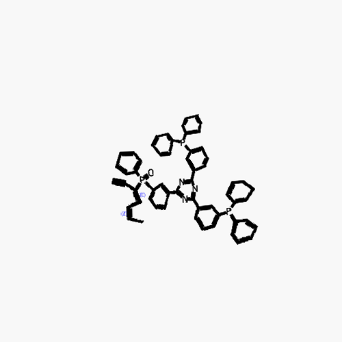 C#C/C(=C\C=C/C)P(=O)(c1ccccc1)c1cccc(-c2nc(-c3cccc(P(C4=CCCC=C4)c4ccccc4)c3)nc(-c3cccc(P(c4ccccc4)c4ccccc4)c3)n2)c1